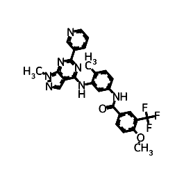 COc1ccc(C(=O)Nc2ccc(C)c(Nc3nc(-c4cccnc4)nc4c3cnn4C)c2)cc1C(F)(F)F